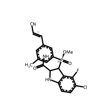 CO[P@](=O)(c1cc(C)cc(/C=C/C#N)c1)C1c2c(ccc(Cl)c2F)NC1C(N)=O